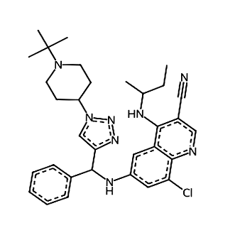 CCC(C)Nc1c(C#N)cnc2c(Cl)cc(NC(c3ccccc3)c3cn(C4CCN(C(C)(C)C)CC4)nn3)cc12